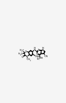 CCNc1nc(Nc2cc3c(cc2OC)N(C)C(=O)C(C)(C)O3)nc2[nH]cc(C#N)c12